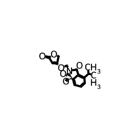 CC(C)c1cccc2c1C(=O)N(COC1=CC(=O)OC1)S2(=O)=O